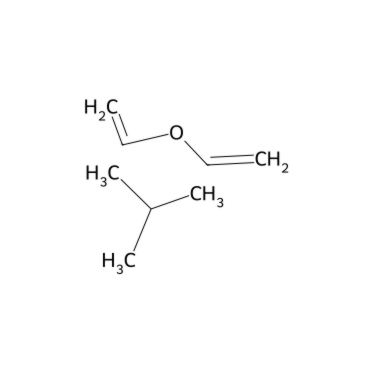 C=COC=C.CC(C)C